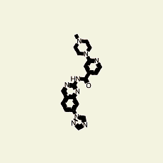 CN1CCN(c2cc(C(=O)Nc3ncc4ccc(-n5cncn5)cc4n3)ccn2)CC1